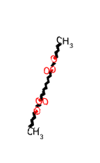 CCCCCCOCCOC(=O)CCCCCCCCC(=O)OCCOCCCCCC